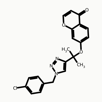 CC(C)(Oc1ccc2c(=O)ccoc2c1)c1cn(Cc2ccc(Cl)cc2)nn1